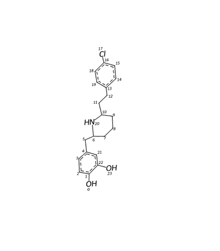 Oc1ccc(CC2CCCC(CCc3ccc(Cl)cc3)N2)cc1O